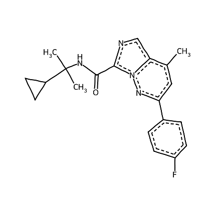 Cc1cc(-c2ccc(F)cc2)nn2c(C(=O)NC(C)(C)C3CC3)ncc12